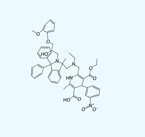 CCOC(=O)C1=C(CN(CC)CC(C)(C)N(CC(O)COc2ccccc2OC)C(c2ccccc2)(c2ccccc2)c2ccccc2)NC(C)=C(C(=O)O)C1c1cccc([N+](=O)[O-])c1